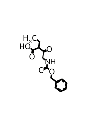 CCC(C(=O)O)C(=O)CNC(=O)OCc1ccccc1